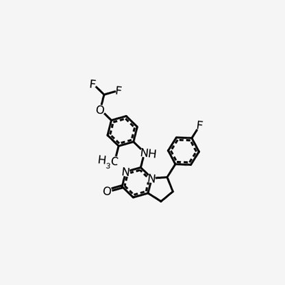 Cc1cc(OC(F)F)ccc1Nc1nc(=O)cc2n1C(c1ccc(F)cc1)CC2